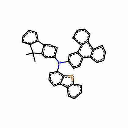 CC1(C)c2ccccc2-c2ccc(N(c3ccc4c5ccccc5c5ccccc5c4c3)c3cccc4c3sc3ccccc34)cc21